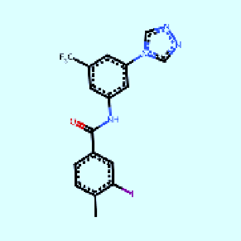 Cc1ccc(C(=O)Nc2cc(-n3cnnc3)cc(C(F)(F)F)c2)cc1I